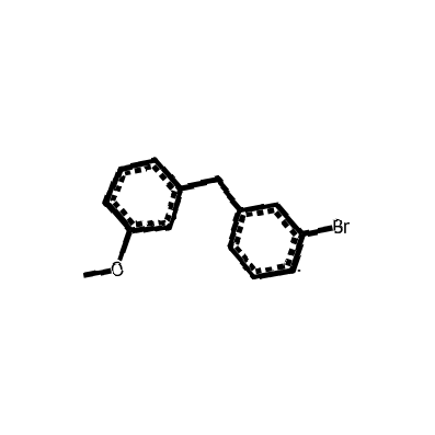 COc1cccc(Cc2cc[c]c(Br)c2)c1